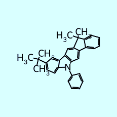 CC(C)(C)c1ccc2c(c1)c1cc3c(cc1n2-c1ccccc1)-c1ccccc1C3(C)C